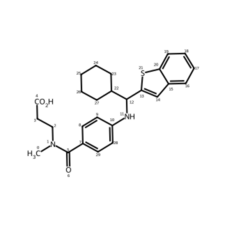 CN(CCC(=O)O)C(=O)c1ccc(NC(c2cc3ccccc3s2)C2CCCCC2)cc1